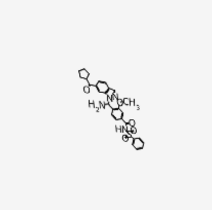 COc1cc(C(=O)NS(=O)(=O)c2ccccc2)ccc1C(N)n1ncc2ccc(C(=O)C3CCCC3)cc21